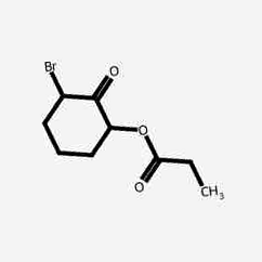 CCC(=O)OC1CCCC(Br)C1=O